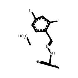 CC(=O)O.N=C(N)N/N=C/c1ccc(Br)cc1F